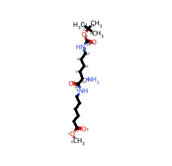 COC(=O)CCCCCNC(=O)[C@@H](N)CCCCNC(=O)OC(C)(C)C